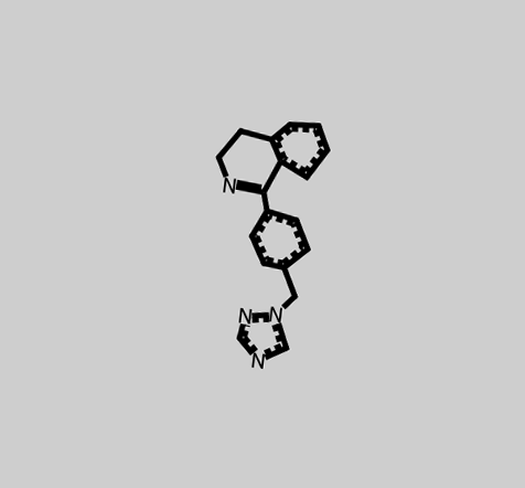 c1ccc2c(c1)CCN=C2c1ccc(Cn2cncn2)cc1